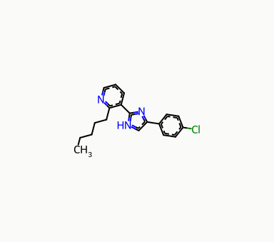 CCCCCc1ncccc1-c1nc(-c2ccc(Cl)cc2)c[nH]1